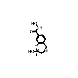 C[C@]1(O)CNCc2ccc(C(=O)NO)cc2O1